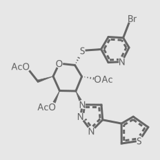 CC(=O)OC[C@H]1O[C@H](Sc2cncc(Br)c2)[C@H](OC(C)=O)[C@@H](n2cc(-c3ccsc3)nn2)[C@H]1OC(C)=O